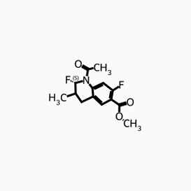 COC(=O)c1cc2c(cc1F)N(C(C)=O)[C@@H](F)C(C)C2